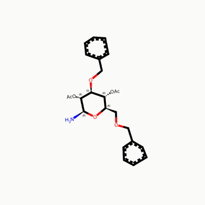 CC(=O)O[C@@H]1[C@@H](OCc2ccccc2)[C@H](OC(C)=O)[C@@H](COCc2ccccc2)O[C@H]1N